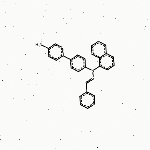 Nc1ccc(-c2ccc(N(C=Cc3ccccc3)c3cccc4ccccc34)cc2)cc1